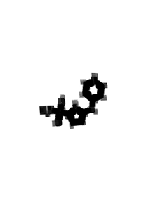 NS(=O)(=O)c1ccc(Sc2ccncc2)s1